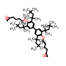 CC(C)(C)CC(C)(C)c1cc(-c2cc(C(C)(C)CC(C)(C)C)c(OCCCCC3CO3)c(C(C)(C)CC(C)(C)C)c2)cc(C(C)(C)CC(C)(C)C)c1OCCCCC1CO1